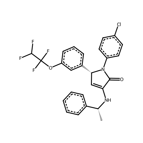 C[C@@H](NC1=C[C@H](c2cccc(OC(F)(F)C(F)F)c2)N(c2ccc(Cl)cc2)C1=O)c1ccccc1